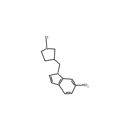 CCN1CCC(Cn2ccc3ccc([N+](=O)[O-])cc32)C1